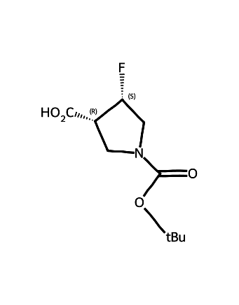 CC(C)(C)OC(=O)N1C[C@@H](F)[C@@H](C(=O)O)C1